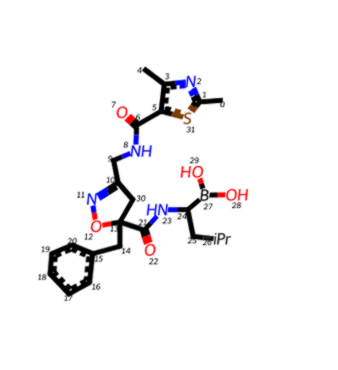 Cc1nc(C)c(C(=O)NCC2=NOC(Cc3ccccc3)(C(=O)NC(CC(C)C)B(O)O)C2)s1